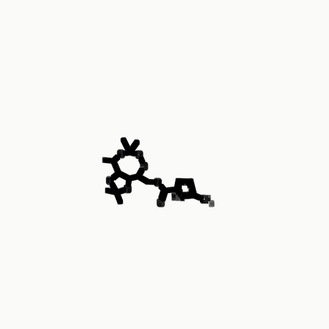 CC1OC(C)(C)OOC(COC(=O)c2ccc(C(F)(F)F)[nH]2)C2OC(C)(C)OC12